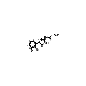 COC(=O)NC1=NC(c2cccc(Br)c2Br)CN1